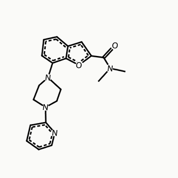 CN(C)C(=O)c1cc2cccc(N3CCN(c4ccccn4)CC3)c2o1